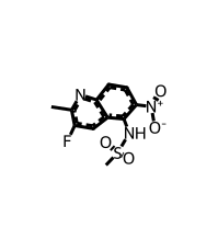 Cc1nc2ccc([N+](=O)[O-])c(NS(C)(=O)=O)c2cc1F